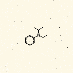 CCN(c1ccccc1)C(C)C